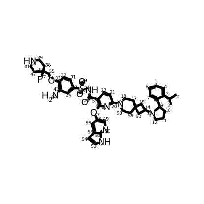 CC(C)c1ccccc1C1CCCN1C1CC2(CCN(c3ccc(C(=O)NS(=O)(=O)c4ccc(OCC5(F)CCNCC5)c(N)c4)c(Oc4cnc5[nH]ccc5c4)n3)CC2)C1